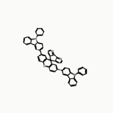 c1ccc(-n2c3ccccc3c3cc(-c4ccc5c(c4)C4(c6cc(-c7ccc8c(c7)c7ccccc7n8-c7ccccc7)ccc6O5)c5cccnc5-c5ncccc54)ccc32)cc1